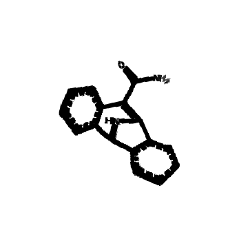 NC(=O)C1=C2NC(c3ccccc32)c2ccccc21